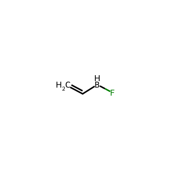 C=CBF